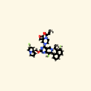 C=CC(=O)N1CCN(c2nc(OC[C@@]34CCCN3C[C@H](F)C4)nc3c(F)c(-c4cccc5ccc(F)c(CC)c45)ncc23)CC12COC2